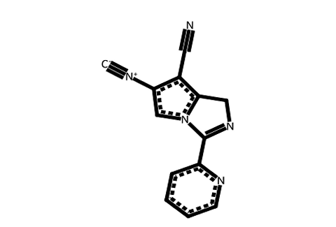 [C-]#[N+]c1cn2c(c1C#N)CN=C2c1ccccn1